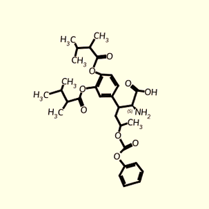 CC(CC(c1ccc(OC(=O)C(C)C(C)C)c(OC(=O)C(C)C(C)C)c1)[C@H](N)C(=O)O)OC(=O)Oc1ccccc1